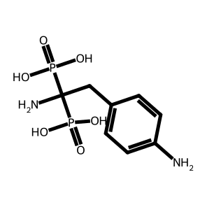 Nc1ccc(CC(N)(P(=O)(O)O)P(=O)(O)O)cc1